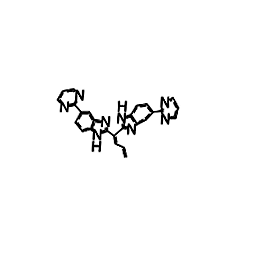 C=CC=C(c1nc2cc(-c3ncccn3)ccc2[nH]1)c1nc2cc(-c3ncccn3)ccc2[nH]1